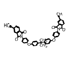 C#Cc1ccc2c(c1)C(=O)N(c1ccc(Oc3ccc(C(C)(C)c4ccc(Oc5ccc(N6C(=O)c7ccc(C#C)cc7C6=O)cc5)cc4)cc3)cc1)C2=O